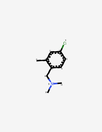 Cc1cc(Cl)ccc1CN(C)C